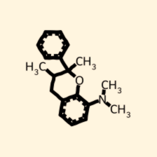 CC1Cc2cccc(N(C)C)c2OC1(C)c1ccccc1